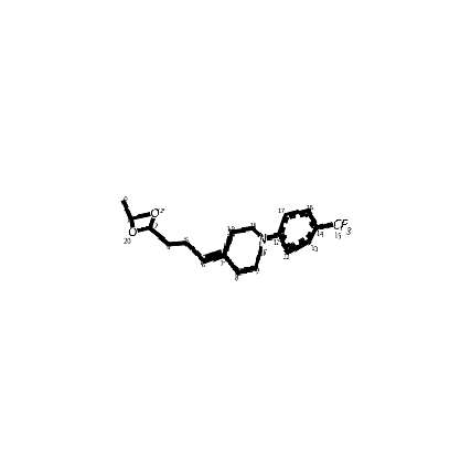 CC1OC(CCC=C2CCN(c3ccc(C(F)(F)F)cc3)CC2)O1